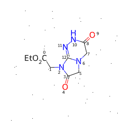 CCOC(=O)CN1C(=O)CN2CC(=O)NN=C21